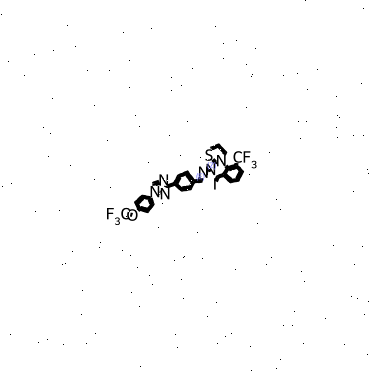 FC(F)(F)Oc1ccc(-n2cnc(-c3ccc(/C=N/N=C4\SCCCN4c4c(CI)cccc4C(F)(F)F)cc3)n2)cc1